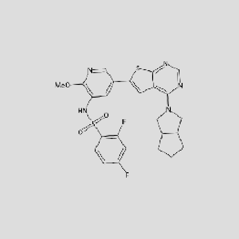 COc1ncc(-c2cc3c(N4CC5CCCC5C4)ncnc3s2)cc1NS(=O)(=O)c1ccc(F)cc1F